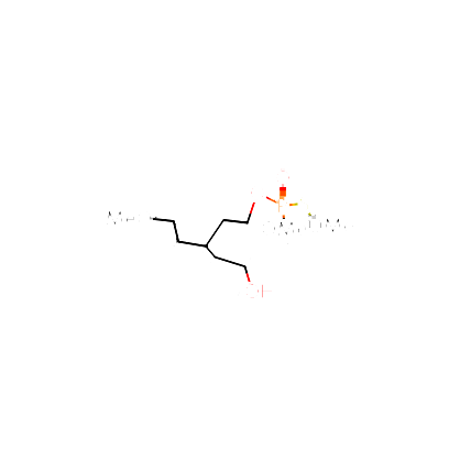 COCCC(CCO)CCOP(=O)(OC)SOC